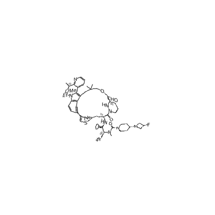 CCn1c(-c2cccnc2[C@H](C)OC)c2c3cc(ccc31)-c1csc(n1)C[C@H](NC(=O)[C@H](C(C)C)N(C)C(=O)N1CCC(N3CC(F)C3)CC1)C(=O)N1CCC[C@](C=O)(COCC(C)(C)C2)N1